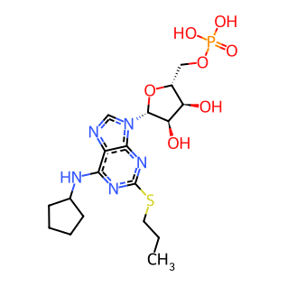 CCCSc1nc(NC2CCCC2)c2ncn([C@@H]3O[C@H](COP(=O)(O)O)[C@@H](O)[C@H]3O)c2n1